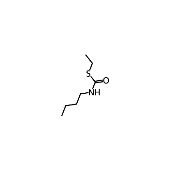 CCCCNC(=O)SCC